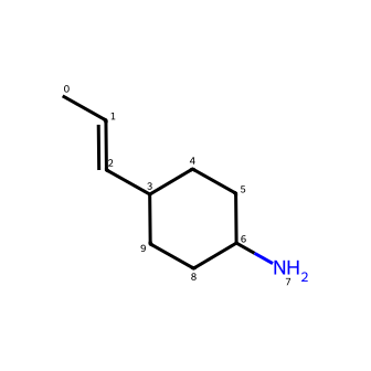 CC=CC1CCC(N)CC1